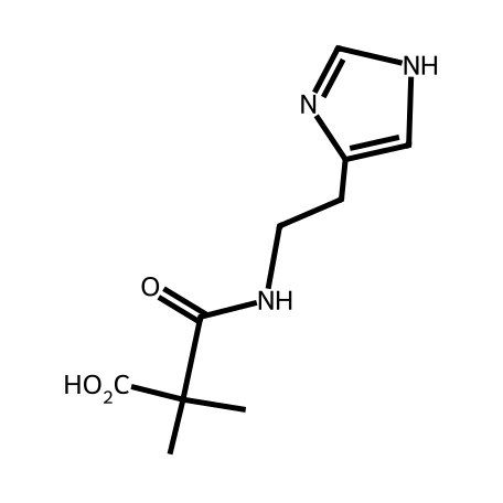 CC(C)(C(=O)O)C(=O)NCCc1c[nH]cn1